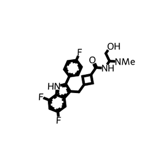 CNC(CO)NC(=O)C1CC(Cc2c(-c3ccc(F)cc3)[nH]c3c(F)cc(F)cc23)C1